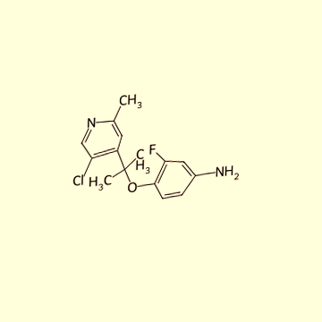 Cc1cc(C(C)(C)Oc2ccc(N)cc2F)c(Cl)cn1